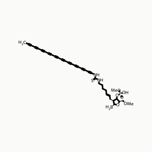 B[C@@H]1O[C@H](COC)C(OP(=O)(O)OC)[C@@H]1C/C=C/CCCCNC(=S)NC#CC#CC#CC#CC#CC#CC#CC#CC#CC#CC